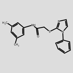 Cc1cc(C)cc(NC(=O)CSc2nccn2-c2ccccc2)c1